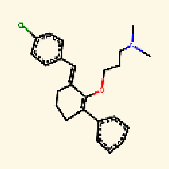 CN(C)CCCOC1=C(c2ccccc2)CCC/C1=C\c1ccc(Cl)cc1